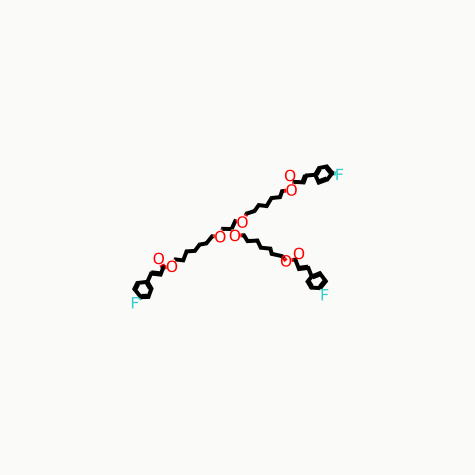 O=C(C=Cc1ccc(F)cc1)OCCCCCCCOCC(COCCCCCCCOC(=O)C=Cc1ccc(F)cc1)OCCCCCCCOC(=O)C=Cc1ccc(F)cc1